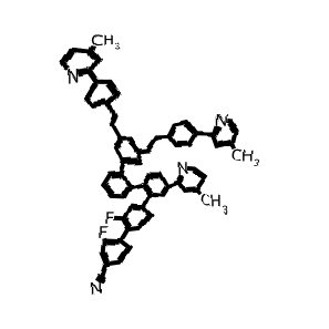 Cc1ccnc(-c2ccc(CCc3cc(CCc4ccc(-c5cc(C)ccn5)cc4)cc(-c4ccccc4-c4ccc(-c5cc(C)ccn5)cc4-c4ccc(-c5ccc(C#N)cc5F)c(F)c4)c3)cc2)c1